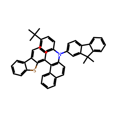 CC(C)(C)c1ccc(N(c2ccc3c(c2)C(C)(C)c2ccccc2-3)c2ccc3ccccc3c2-c2cccc3c2sc2ccccc23)cc1